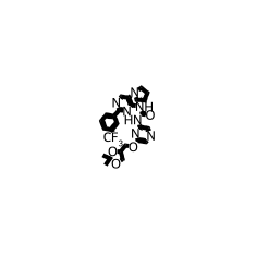 CC1(C)OCC(COc2cncc(NC(=O)N3c4nc(-c5cccc(C(F)(F)F)c5)ncc4N4CC[C@H]3C4)n2)O1